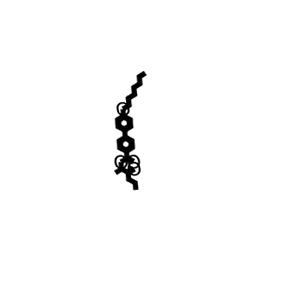 CCCCCCCOc1ccc(-c2ccc(C(=O)OC(C)C(=O)CCC)cc2)cc1